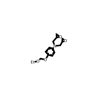 CCOCOc1ccc(N(CC2CO2)CC2CO2)cc1